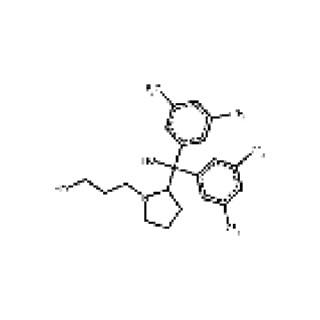 OCCCN1CCCC1C(O)(c1cc(C(F)(F)F)cc(C(F)(F)F)c1)c1cc(C(F)(F)F)cc(C(F)(F)F)c1